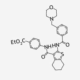 CCOC(=O)c1ccc(NC(=O)c2c(NC(=O)c3cccc(CN4CCOCC4)c3)sc3c2CCCC3)cc1